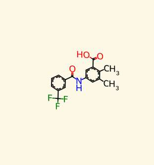 Cc1cc(NC(=O)c2cccc(C(F)(F)F)c2)cc(C(=O)O)c1C